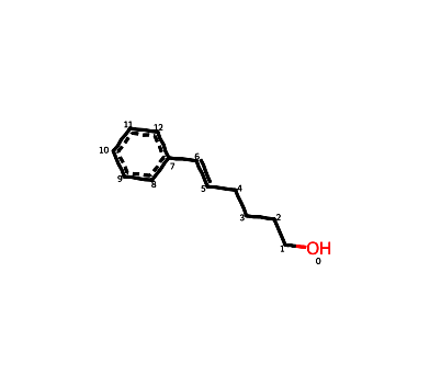 OCCCCC=Cc1ccccc1